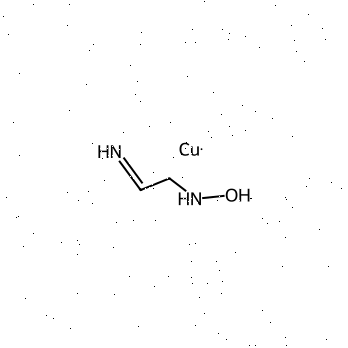 N=CCNO.[Cu]